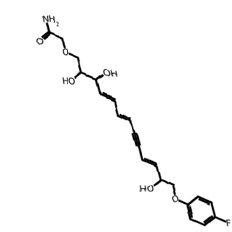 NC(=O)COCC(O)C(O)/C=C/C=C/C#C/C=C/C(O)COc1ccc(F)cc1